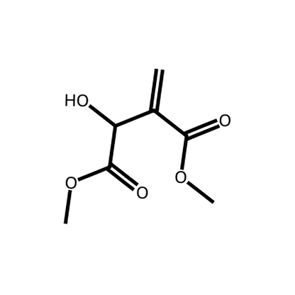 C=C(C(=O)OC)C(O)C(=O)OC